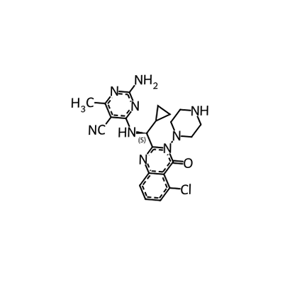 Cc1nc(N)nc(N[C@H](c2nc3cccc(Cl)c3c(=O)n2N2CCNCC2)C2CC2)c1C#N